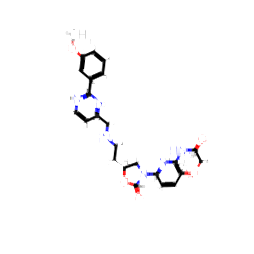 COc1cccc(-c2nccc(CNCC[C@H]3CN(c4ccc5c(n4)NC(=O)CO5)C(=O)O3)n2)c1